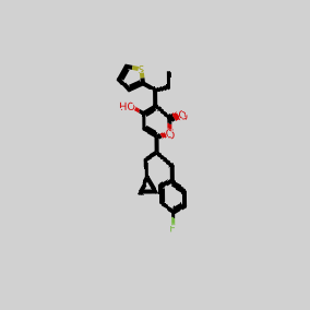 CCC(c1cccs1)c1c(O)cc(C(Cc2ccc(F)cc2)CC2CC2)oc1=O